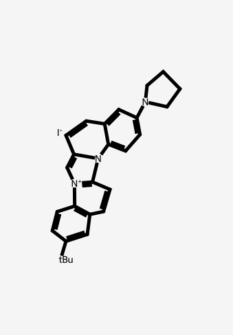 CC(C)(C)c1ccc2c(ccc3n4c(ccc5cc(N6CCCC6)ccc54)c[n+]23)c1.[I-]